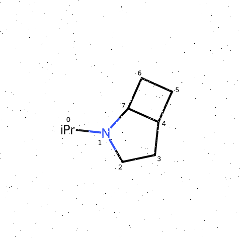 CC(C)N1CCC2CCC21